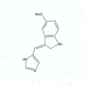 COc1ccc2c(c1)/C(=C/c1cnc[nH]1)CN2